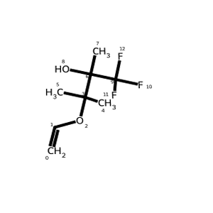 C=COC(C)(C)C(C)(O)C(F)(F)F